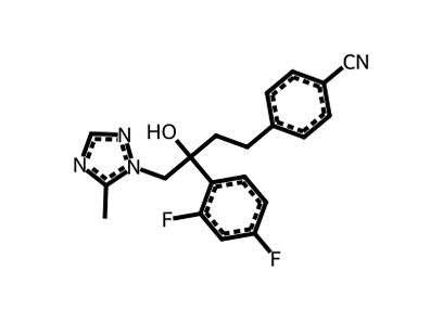 Cc1ncnn1CC(O)(CCc1ccc(C#N)cc1)c1ccc(F)cc1F